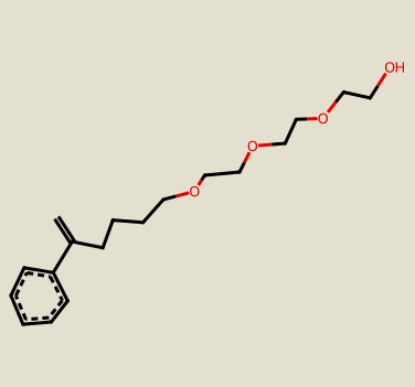 C=C(CCCCOCCOCCOCCO)c1ccccc1